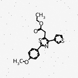 CCOC(=O)Cc1sc(-c2ccc(OC)cc2)nc1-c1ccsc1